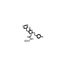 CCCCCCCCCCNC(=O)Cn1cc(Cc2cncnc2)c(=O)nc1SCc1ccc(F)cc1